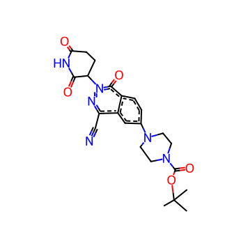 CC(C)(C)OC(=O)N1CCN(c2ccc3c(=O)n(C4CCC(=O)NC4=O)nc(C#N)c3c2)CC1